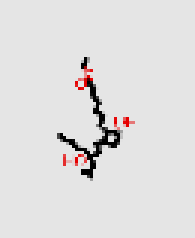 CCCCCC(O)(CC=C1CC[C@H](O)[C@@H]1CCCCCCC(=O)OCC)CC(C)C